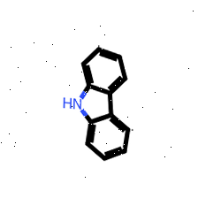 [c]1ccc2c(c1)[nH]c1ccc[c]c12